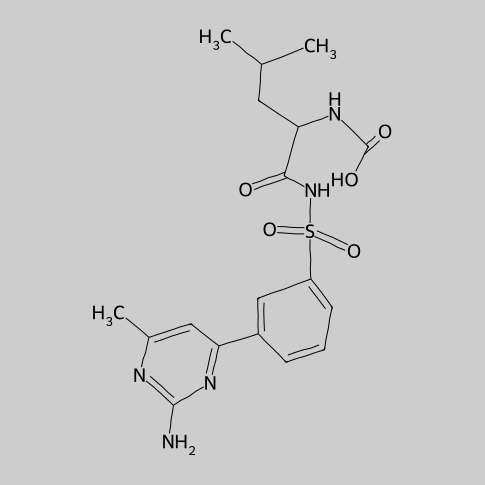 Cc1cc(-c2cccc(S(=O)(=O)NC(=O)C(CC(C)C)NC(=O)O)c2)nc(N)n1